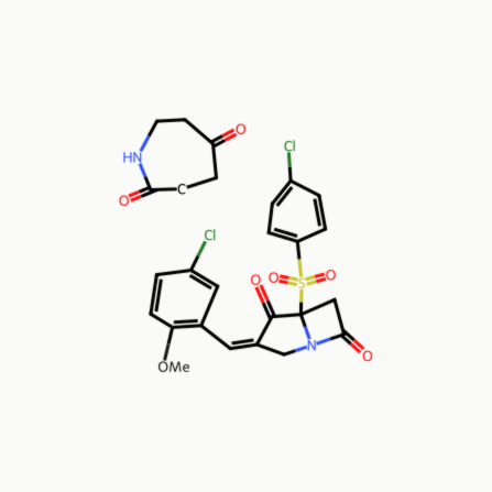 COc1ccc(Cl)cc1C=C1CN2C(=O)CC2(S(=O)(=O)c2ccc(Cl)cc2)C1=O.O=C1CCNC(=O)CC1